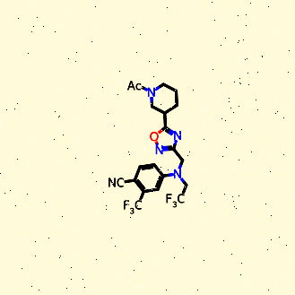 CC(=O)N1CCCC(c2nc(CN(CC(F)(F)F)c3ccc(C#N)c(C(F)(F)F)c3)no2)C1